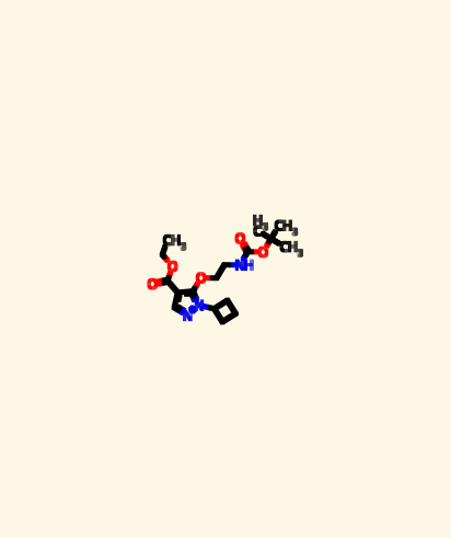 CCOC(=O)c1cnn(C2CCC2)c1OCCNC(=O)OC(C)(C)C